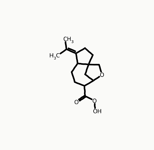 CC(C)=C1CCC23COC(C2)C(C(=O)OO)CCC13